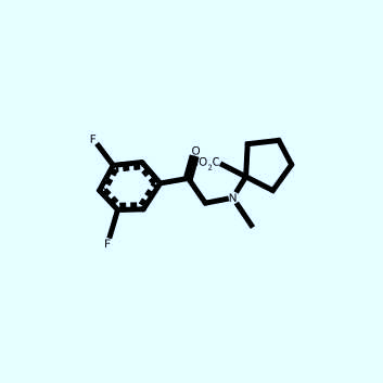 CN(CC(=O)c1cc(F)cc(F)c1)C1(C(=O)O)CCCC1